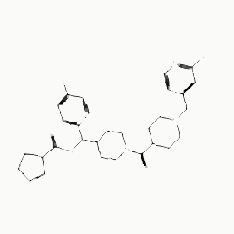 Nc1cc(CN2CCC(C(=O)N3CCC(C(NC(=O)C4CCCC4)c4ccc(Cl)cc4)CC3)CC2)ccn1